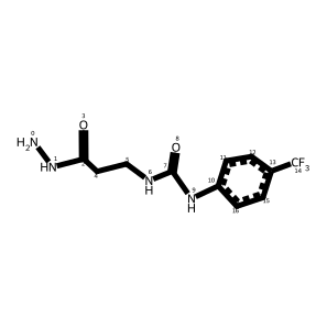 NNC(=O)CCNC(=O)Nc1ccc(C(F)(F)F)cc1